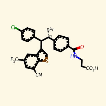 CCC[C@H](c1ccc(C(=O)NCCC(=O)O)cc1)C(c1ccc(Cl)cc1)c1csc2c(C#N)cc(C(F)(F)F)cc12